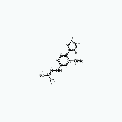 COc1cc(NN=C(C#N)C#N)ccc1-c1cnco1